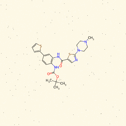 CN1CCN(c2ncc(C(=O)Nc3cc(-c4cccs4)ccc3NC(=O)OC(C)(C)C)s2)CC1